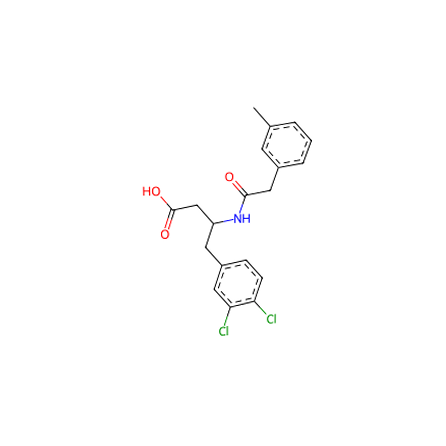 Cc1cccc(CC(=O)NC(CC(=O)O)Cc2ccc(Cl)c(Cl)c2)c1